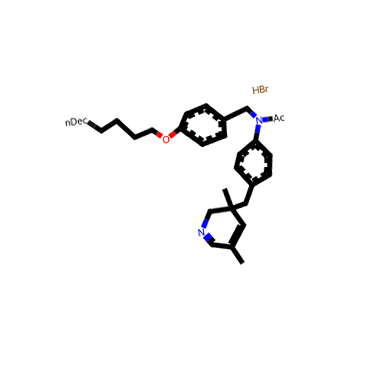 Br.CCCCCCCCCCCCCCOc1ccc(CN(C(C)=O)c2ccc(CC3(C)C=C(C)C=NC3)cc2)cc1